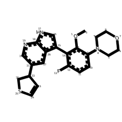 COc1c(N2CCOCC2)ccc(F)c1-c1c[nH]c2ncc(C3C=CSC3)cc12